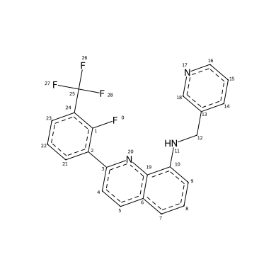 Fc1c(-c2ccc3cccc(NCc4cccnc4)c3n2)cccc1C(F)(F)F